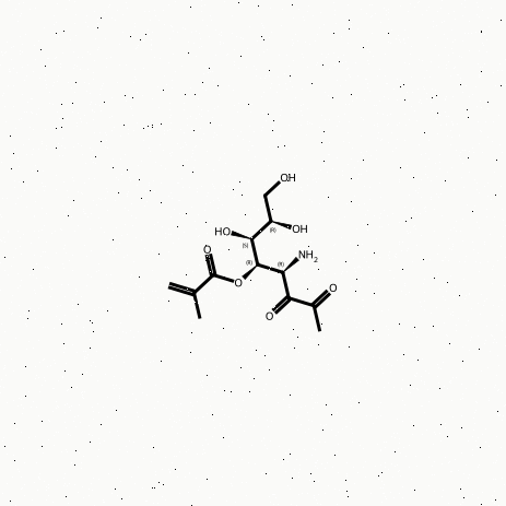 C=C(C)C(=O)O[C@@H]([C@@H](O)[C@H](O)CO)[C@@H](N)C(=O)C(C)=O